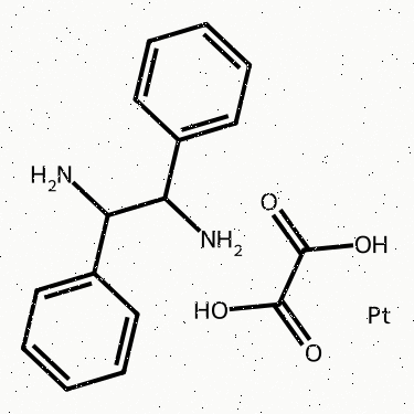 NC(c1ccccc1)C(N)c1ccccc1.O=C(O)C(=O)O.[Pt]